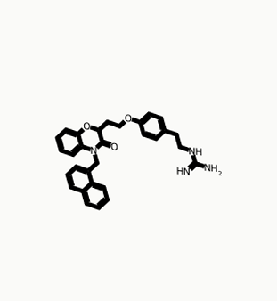 N=C(N)NCCc1ccc(OCCC2Oc3ccccc3N(Cc3cccc4ccccc34)C2=O)cc1